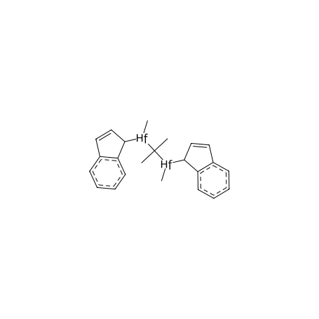 [CH3][Hf]([CH]1C=Cc2ccccc21)[C](C)(C)[Hf]([CH3])[CH]1C=Cc2ccccc21